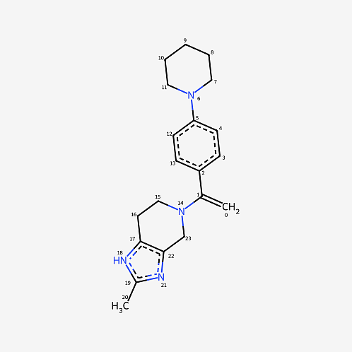 C=C(c1ccc(N2CCCCC2)cc1)N1CCc2[nH]c(C)nc2C1